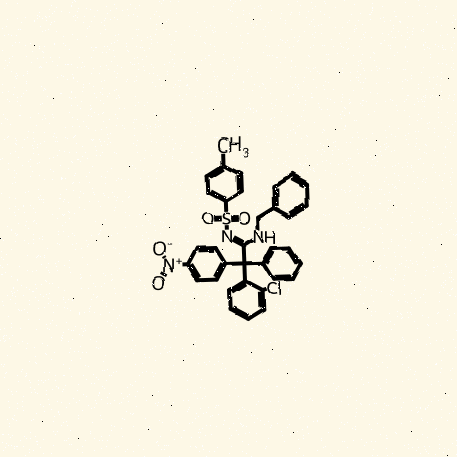 Cc1ccc(S(=O)(=O)N=C(NCc2ccccc2)C(c2ccccc2)(c2ccc([N+](=O)[O-])cc2)c2ccccc2Cl)cc1